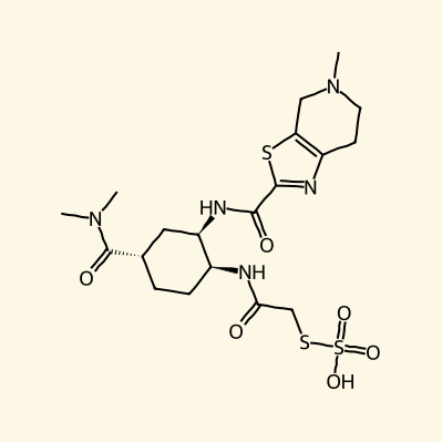 CN1CCc2nc(C(=O)N[C@@H]3C[C@@H](C(=O)N(C)C)CC[C@@H]3NC(=O)CSS(=O)(=O)O)sc2C1